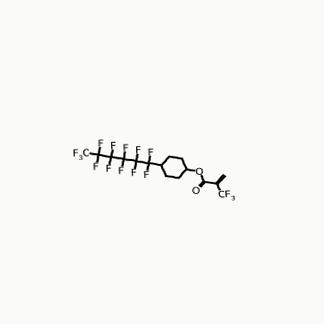 C=C(C(=O)OC1CCC(C(F)(F)C(F)(F)C(F)(F)C(F)(F)C(F)(F)C(F)(F)F)CC1)C(F)(F)F